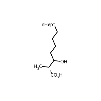 CCCCCCCCCCCC(O)[C@@H](C)C(=O)O